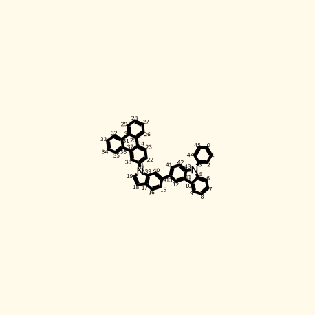 c1ccc(-n2c3ccccc3c3cc(-c4ccc5ccn(-c6ccc7c8ccccc8c8ccccc8c7c6)c5c4)ccc32)cc1